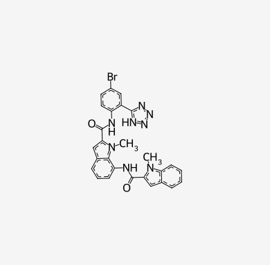 Cn1c(C(=O)Nc2cccc3cc(C(=O)Nc4ccc(Br)cc4-c4nnn[nH]4)n(C)c23)cc2ccccc21